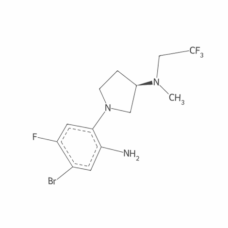 CN(CC(F)(F)F)[C@@H]1CCN(c2cc(F)c(Br)cc2N)C1